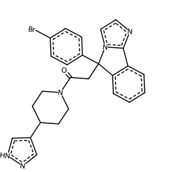 O=C(CC1(c2ccc(Br)cc2)c2ccccc2-c2nccn21)N1CCC(c2cn[nH]c2)CC1